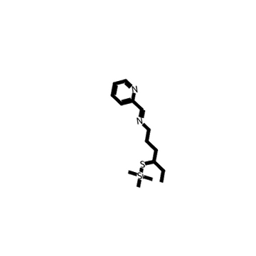 CCC(CCCN=Cc1ccccn1)S[Si](C)(C)C